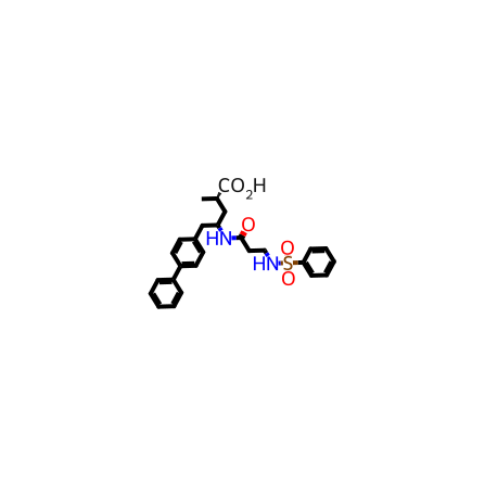 C[C@H](CC(Cc1ccc(-c2ccccc2)cc1)NC(=O)CCNS(=O)(=O)c1ccccc1)C(=O)O